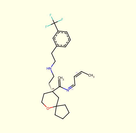 C=C(/N=C\C=C/C)[C@]1(CCNCCc2cccc(C(F)(F)F)c2)CCOC2(CCCC2)C1